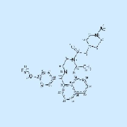 CC(=O)N1CCC(CC(=O)N2CCN(C(c3ccc(OC(F)(F)F)cc3)c3cccc4ccccc34)CC2C)CC1